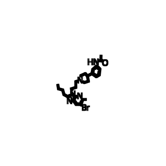 CCCCc1nc2cc(Br)c(C)nc2n1CCCN1CCC(c2cccc(NC(C)=O)c2)CC1